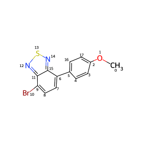 COc1ccc(-c2ccc(Br)c3nsnc23)cc1